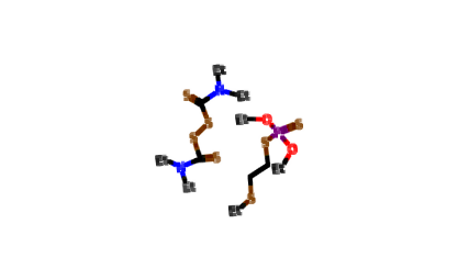 CCN(CC)C(=S)SSC(=S)N(CC)CC.CCOP(=S)(OCC)SCCSCC